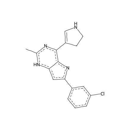 Cc1nc(C2=CNCC2)c2nc(-c3cccc(Cl)c3)cc-2[nH]1